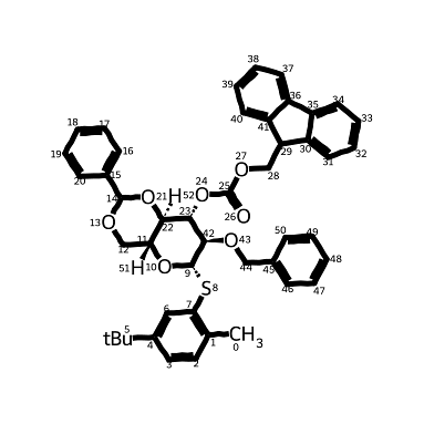 Cc1ccc(C(C)(C)C)cc1S[C@@H]1O[C@@H]2COC(c3ccccc3)O[C@H]2[C@H](OC(=O)OCC2c3ccccc3-c3ccccc32)[C@H]1OCc1ccccc1